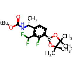 C[C@@H](NC(=O)OC(C)(C)C)c1ccc(B2OC(C)(C)C(C)(C)O2)c(F)c1C(F)F